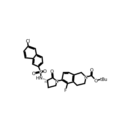 CC(C)(C)OC(=O)N1CCc2c(ccc(N3CC[C@H](NS(=O)(=O)c4ccc5cc(Cl)ccc5c4)C3=O)c2F)C1